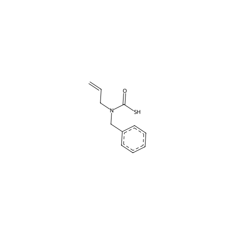 C=CCN(Cc1ccccc1)C(=O)S